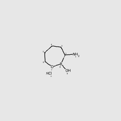 Cl.NC1CCCCOB1O